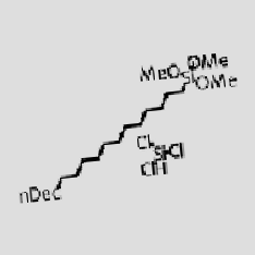 CCCCCCCCCCCCCCCCCCCCCC[Si](OC)(OC)OC.Cl[SiH](Cl)Cl